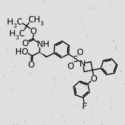 CC(C)(C)OC(=O)N[C@@H](Cc1cccc(S(=O)(=O)N2CC(Oc3cccc(F)c3)(c3ccccc3)C2)c1)C(=O)O